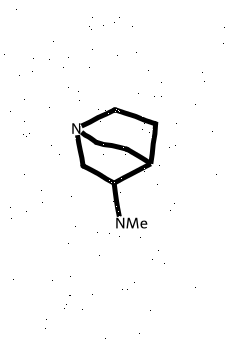 CNC1CN2CCC1CC2